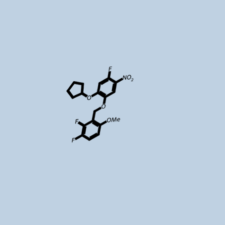 COc1ccc(F)c(F)c1COc1cc([N+](=O)[O-])c(F)cc1OC1CCCC1